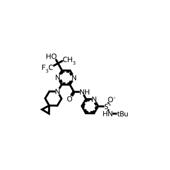 CC(C)(C)N[S+]([O-])c1cccc(NC(=O)c2ncc(C(C)(O)C(F)(F)F)nc2N2CCC3(CC2)CC3)n1